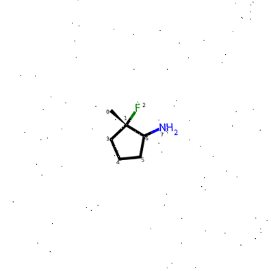 C[C@]1(F)CCCC1N